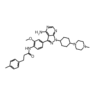 COc1cc(-c2nn(C3CCC(N4CCN(C)CC4)CC3)c3ncnc(N)c23)ccc1NC(=O)CCc1ccc(C)cc1